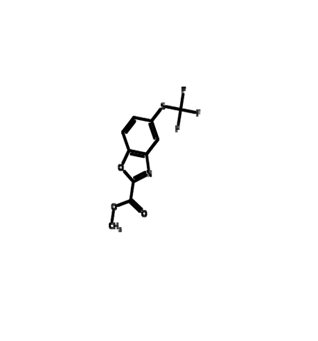 COC(=O)c1nc2cc(SC(F)(F)F)ccc2o1